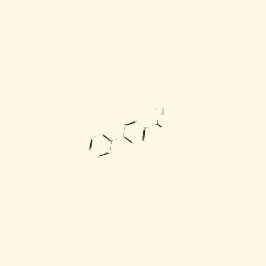 Cc1cc(-c2ccccc2)c(C)cc1C(N)=O